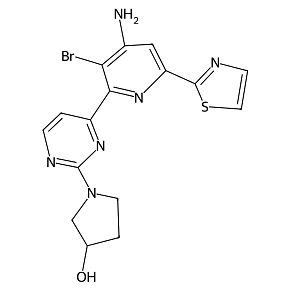 Nc1cc(-c2nccs2)nc(-c2ccnc(N3CCC(O)C3)n2)c1Br